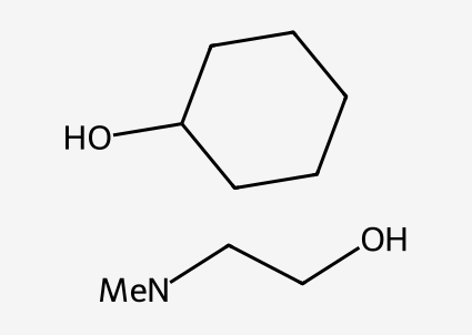 CNCCO.OC1CCCCC1